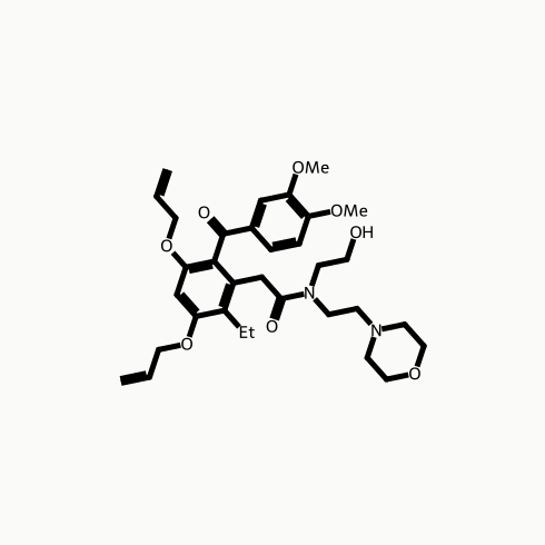 C=CCOc1cc(OCC=C)c(C(=O)c2ccc(OC)c(OC)c2)c(CC(=O)N(CCO)CCN2CCOCC2)c1CC